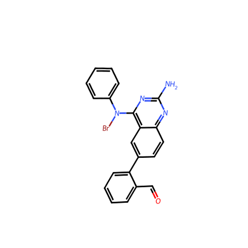 Nc1nc(N(Br)c2ccccc2)c2cc(-c3ccccc3C=O)ccc2n1